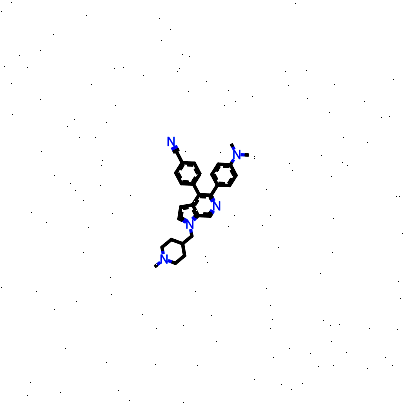 CN1CCC(Cn2ccc3c(-c4ccc(C#N)cc4)c(-c4ccc(N(C)C)cc4)ncc32)CC1